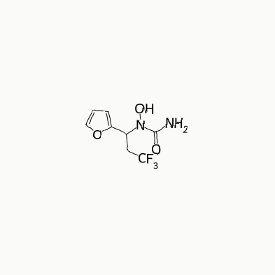 NC(=O)N(O)C(CC(F)(F)F)c1ccco1